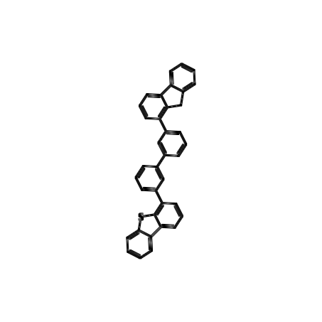 c1cc(-c2cccc(-c3cccc4c3sc3ccccc34)c2)cc(-c2cccc3c2Cc2ccccc2-3)c1